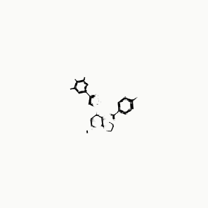 O=C(O[C@@H]1[C@@H](n2cc(-c3cc(F)c(F)c(F)c3)nn2)[C@@H](O)[C@@H](CO)O[C@@]12CCCO2)c1ccc(F)cc1